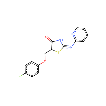 O=C1N/C(=N\c2ccccn2)SC1COc1ccc(F)cc1